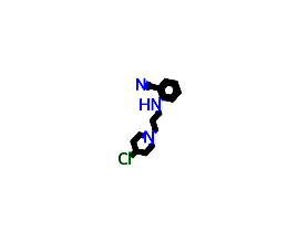 N#Cc1ccccc1NCCCN1CCC(Cl)CC1